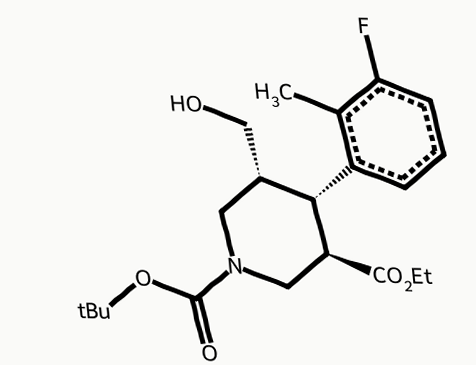 CCOC(=O)[C@H]1CN(C(=O)OC(C)(C)C)C[C@H](CO)[C@@H]1c1cccc(F)c1C